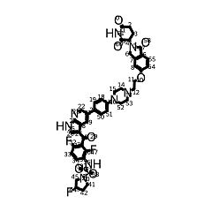 O=C1CCC(N2Cc3cc(OCCN4CCN(c5ccc(-c6cnc7[nH]cc(C(=O)c8c(F)ccc(NS(=O)(=O)N9CC[C@@H](F)C9)c8F)c7c6)cc5)CC4)ccc3C2=O)C(=O)N1